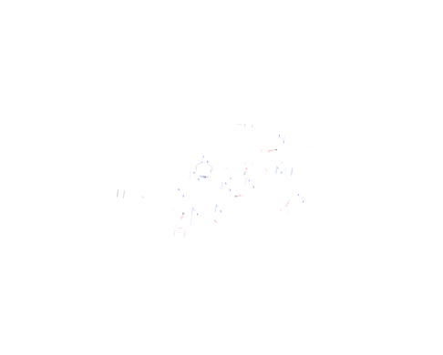 CC(C)C[C@H](NC(=O)[C@@H](N)CCC(=O)O)C(=O)N[C@@H](C)C(=O)N[C@@H](Cc1c[nH]cn1)C(=O)N[C@@H](CCC(N)=O)C(=O)N[C@@H](CC(C)C)C(=O)N1CCC[C@H]1C(=O)O